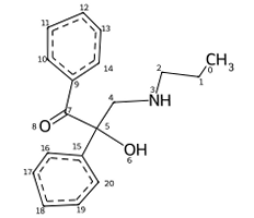 CCCNCC(O)(C(=O)c1ccccc1)c1ccccc1